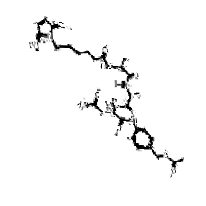 CC(=O)OCc1ccc(NC(=O)[C@H](CC(N)=O)NC(=O)[C@H](C)NC(=O)[C@H](C)NC(=O)CCCCCN2C(=O)C=CC2=O)cc1